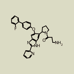 NCCC(=O)N1CCCC1c1cc2[nH]c(-c3ccccn3)nc2cc1Oc1ccc(-c2ccccc2F)cc1